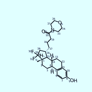 C[C@]12CC[C@@H]3c4ccc(O)cc4CC[C@H]3[C@@H]1[C@@H](CCCC(=O)N1CCOCC1)CC2(F)F